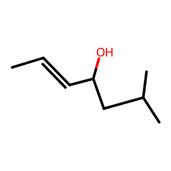 C/C=C/C(O)CC(C)C